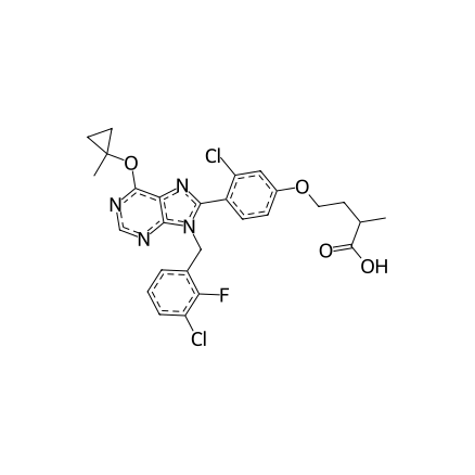 CC(CCOc1ccc(-c2nc3c(OC4(C)CC4)ncnc3n2Cc2cccc(Cl)c2F)c(Cl)c1)C(=O)O